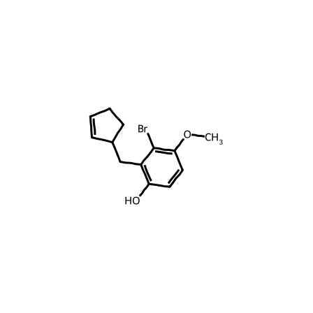 COc1ccc(O)c(CC2C=CCC2)c1Br